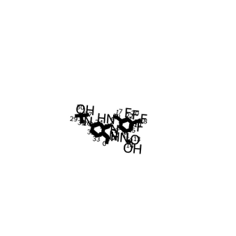 Cc1nnc(N[C@H](C)c2cc(NC(=O)O)cc(C(F)(F)F)c2F)c2cc(N3CC(C)(O)C3)ccc12